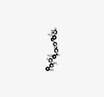 Cc1cc(C(=O)N2CCC(F)(CN3CCC(n4ccc5c(C)c(N6CCC(=O)NC6=O)ccc54)CC3)CC2)ccc1[C@H]1C[C@@H](F)CN(c2cc(-c3ccccc3O)nnc2N)C1